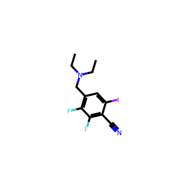 CCN(CC)Cc1cc(I)c(C#N)c(F)c1F